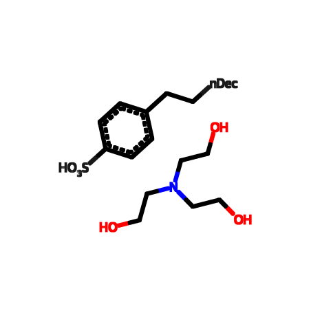 CCCCCCCCCCCCc1ccc(S(=O)(=O)O)cc1.OCCN(CCO)CCO